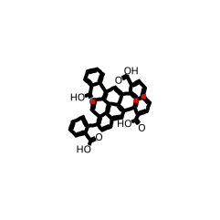 O=C(O)c1ccccc1-c1ccc2cc(-c3ccccc3C(=O)O)c3c(-c4ccccc4C(=O)O)cc(-c4ccccc4C(=O)O)c4ccc1c2c43